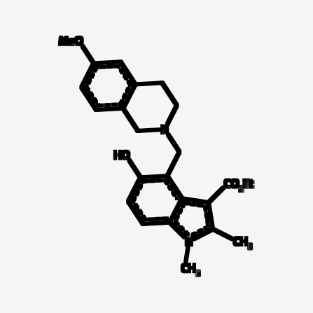 CCOC(=O)c1c(C)n(C)c2ccc(O)c(CN3CCc4cc(OC)ccc4C3)c12